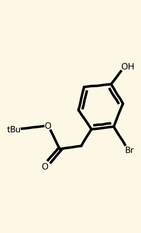 CC(C)(C)OC(=O)Cc1ccc(O)cc1Br